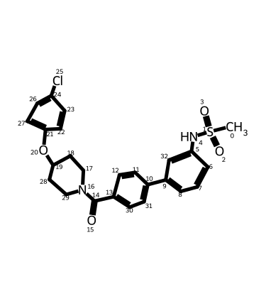 CS(=O)(=O)Nc1cccc(-c2ccc(C(=O)N3CCC(Oc4ccc(Cl)cc4)CC3)cc2)c1